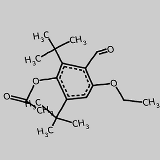 CCOc1cc(C(C)(C)C)c(OC(C)=O)c(C(C)(C)C)c1C=O